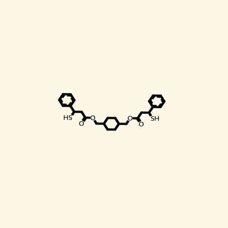 O=C(CC(S)c1ccccc1)OCC1CCC(COC(=O)CC(S)c2ccccc2)CC1